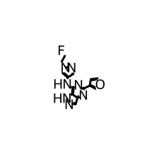 FCCn1cc(Nc2nc(-c3ccoc3)nc3cn[nH]c23)cn1